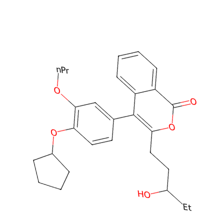 CCCOc1cc(-c2c(CCC(O)CC)oc(=O)c3ccccc23)ccc1OC1CCCC1